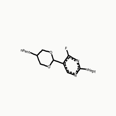 CCCCCCCc1ncc(C2OCC(CCCCC)CO2)c(F)n1